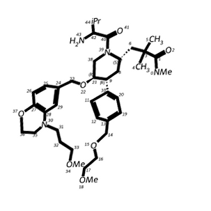 CNC(=O)C(C)(C)C[C@@H]1C[C@H](c2ccc(COCCOC)cc2)[C@@H](OCc2ccc3c(c2)N(CCCOC)CCO3)CN1C(=O)C(N)C(C)C